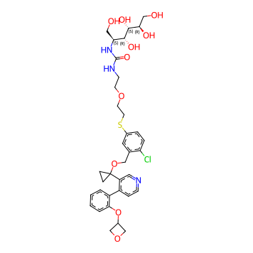 O=C(NCCOCCSc1ccc(Cl)c(COC2(c3cnccc3-c3ccccc3OC3COC3)CC2)c1)N[C@@H](CO)[C@@H](O)[C@H](O)[C@H](O)CO